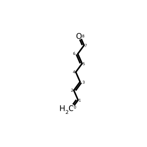 C=C/C=C/C/C=C/C=O